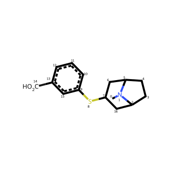 CN1C2CCC1CC(Sc1cccc(C(=O)O)c1)C2